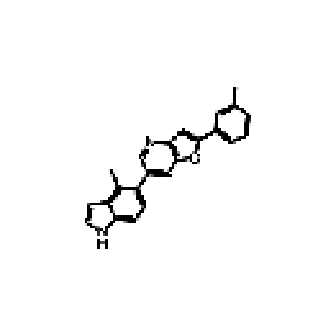 Cc1cccc(-c2cc3ncc(-c4ccc5[nH]ccc5c4C)[c]c3o2)c1